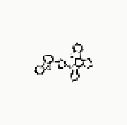 c1ccc2c(c1)oc1c(-c3ccc(-n4c5ccccc5c5c6ccccc6c6c7ccccc7oc6c54)cc3)cccc12